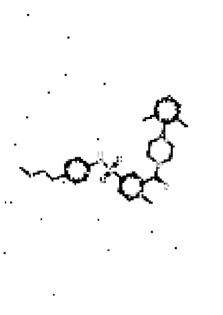 CCCCc1ccc(NS(=O)(=O)c2ccc(C)c(C(=O)N3CCN(c4c(C)cccc4C)CC3)c2)cc1